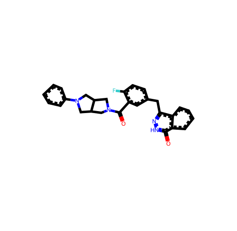 O=C(c1cc(Cc2n[nH]c(=O)c3ccccc23)ccc1F)N1CC2CN(c3ccccc3)CC2C1